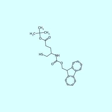 CC(C)(C)OC(=O)CCC(CS)NC(=O)OCC1c2ccccc2-c2ccccc21